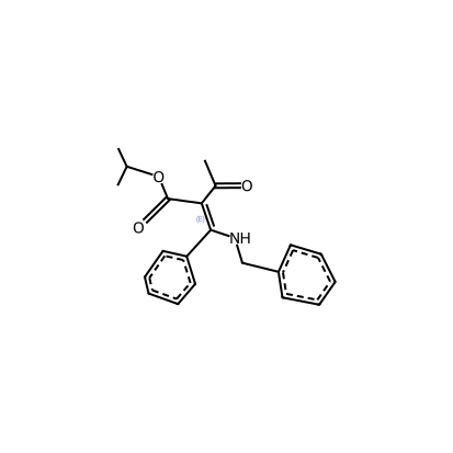 CC(=O)/C(C(=O)OC(C)C)=C(\NCc1ccccc1)c1ccccc1